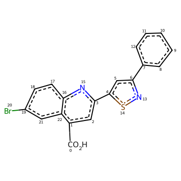 O=C(O)c1cc(-c2cc(-c3ccccc3)ns2)nc2ccc(Br)cc12